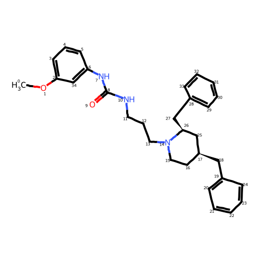 COc1cccc(NC(=O)NCCCN2CC[C@H](Cc3ccccc3)C[C@@H]2Cc2ccccc2)c1